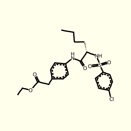 CCCC[C@H](NS(=O)(=O)c1ccc(Cl)cc1)C(=O)Nc1ccc(CC(=O)OCC)cc1